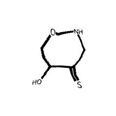 OC1CONCC1=S